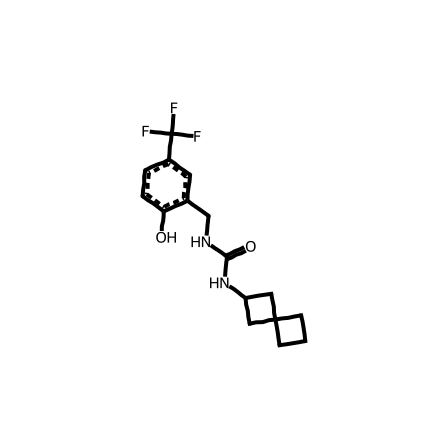 O=C(NCc1cc(C(F)(F)F)ccc1O)NC1CC2(CCC2)C1